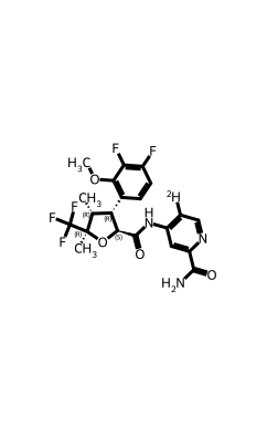 [2H]c1cnc(C(N)=O)cc1NC(=O)[C@H]1O[C@@](C)(C(F)(F)F)[C@H](C)[C@@H]1c1ccc(F)c(F)c1OC